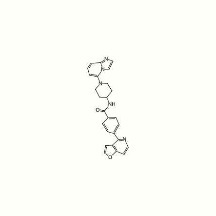 O=C(NC1CCN(c2cccc3nccn23)CC1)c1ccc(-c2nccc3occc23)cc1